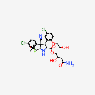 CC(C)(C)C[C@@H]1N[C@@H](C(=O)OC[C@@H](O)CC(N)=O)[C@H](c2cc(Cl)ccc2OCCO)[C@@]1(C#N)c1ccc(Cl)cc1F